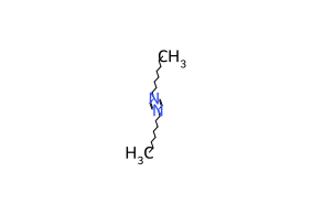 CCCCCCCCN1C=CN(CCCCCCCC)C=C1